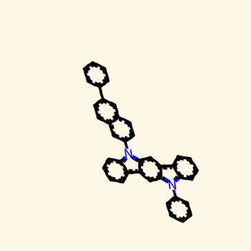 c1ccc(-c2ccc3cc(-n4c5ccccc5c5cc6c(cc54)c4ccccc4n6-c4ccccc4)ccc3c2)cc1